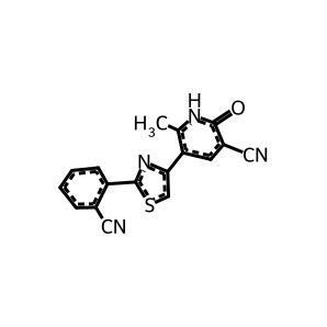 Cc1[nH]c(=O)c(C#N)cc1-c1csc(-c2ccccc2C#N)n1